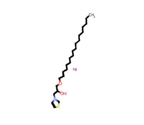 CCCCCCCCCCCCCCCCCCOCC(O)CN1C=CSC1.I